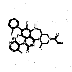 C=CC(=O)N1CC(C)N2c3nc(=O)n(-c4c(C)ccnc4C(C)C)c4c(F)c(-c5ccccc5F)c(F)c(c34)NCC2C1